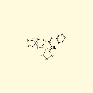 CN(Cc1ccccc1)C1CCC2(CCOC2)CC1N1CCCC1